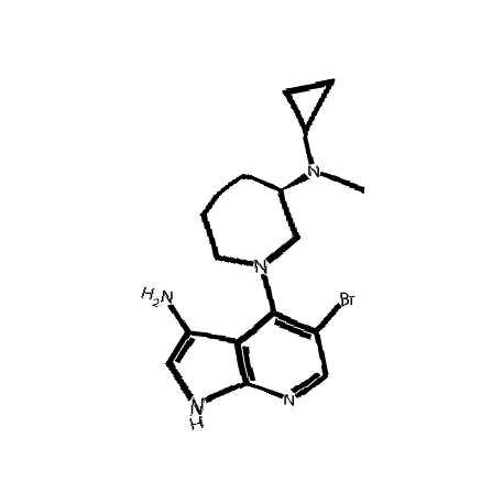 CN(C1CC1)[C@@H]1CCCN(c2c(Br)cnc3[nH]cc(N)c23)C1